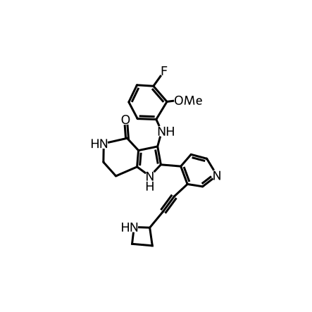 COc1c(F)cccc1Nc1c(-c2ccncc2C#CC2CCN2)[nH]c2c1C(=O)NCC2